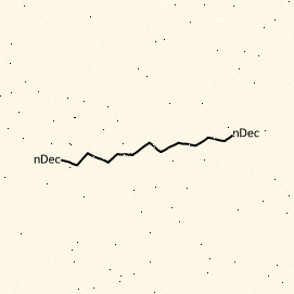 CCC[CH]CCCCCCCCCCCCCCCCCCCCCCCCCCC